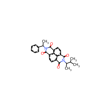 CC(C)C(C)N1C(=O)c2ccc3c4c(ccc(c24)C1=O)C(=O)N(C(C)c1ccccc1)C3=O